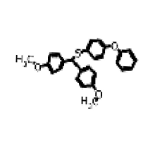 COc1ccc(C(Sc2ccc(Oc3ccccc3)cc2)c2ccc(OC)cc2)cc1